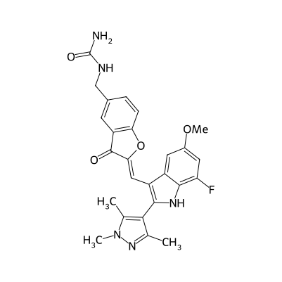 COc1cc(F)c2[nH]c(-c3c(C)nn(C)c3C)c(C=C3Oc4ccc(CNC(N)=O)cc4C3=O)c2c1